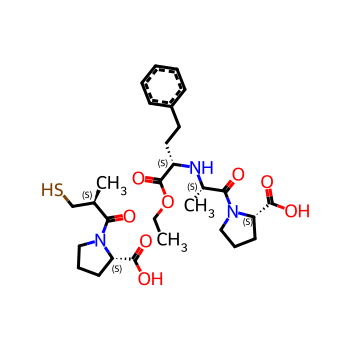 CCOC(=O)[C@H](CCc1ccccc1)N[C@@H](C)C(=O)N1CCC[C@H]1C(=O)O.C[C@H](CS)C(=O)N1CCC[C@H]1C(=O)O